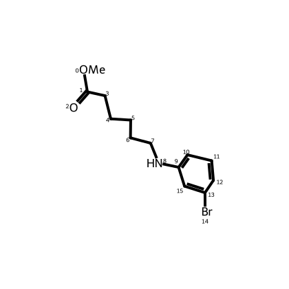 COC(=O)CCCCCNc1cccc(Br)c1